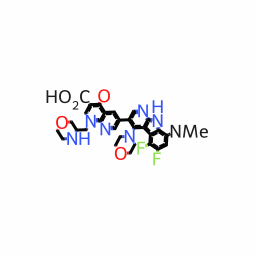 CNc1cc(F)c(F)c2c1[nH]c1ncc(-c3cnc4c(c3)c(=O)c(C(=O)O)cn4CC3COCCN3)c(N3CCOCC3)c12